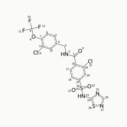 O=C(NCc1ccc(OC(F)(F)F)c(Cl)c1)c1ccc(S(=O)(=O)Nc2ncns2)cc1Cl